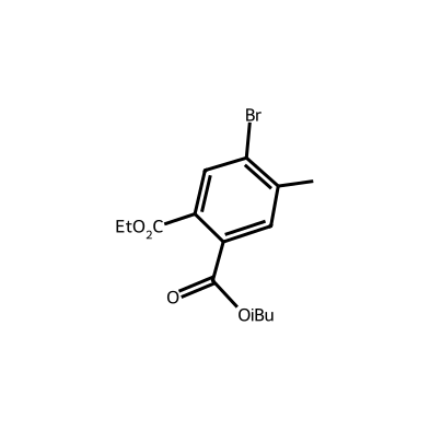 CCOC(=O)c1cc(Br)c(C)cc1C(=O)OCC(C)C